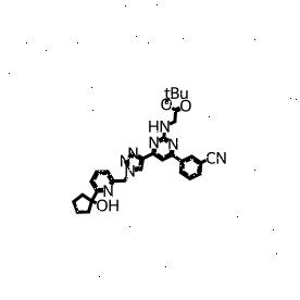 CC(C)(C)OC(=O)CNc1nc(-c2cccc(C#N)c2)cc(-c2cn(Cc3cccc(C4(O)CCCC4)n3)nn2)n1